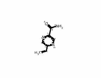 C=Cc1cnc(C(N)=O)cn1